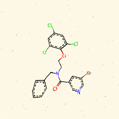 O=C(c1cncc(Br)c1)N(CCOc1c(Cl)cc(Cl)cc1Cl)Cc1ccccc1